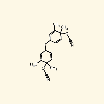 CC1=CC(CC2C=CC(C)(OC#N)C(C)=C2)C=CC1(C)OC#N